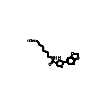 CCCCCCCCCCCCCCCCNC(=O)[C@@H]1CSC(c2ccc3c(c2)OCO3)N1